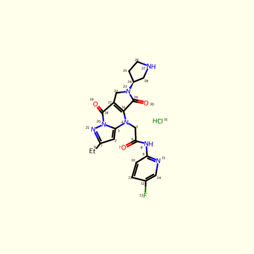 CCc1cc2n(CC(=O)Nc3ccc(F)cn3)c3c(c(=O)n2n1)CN([C@H]1CCNC1)C3=O.Cl